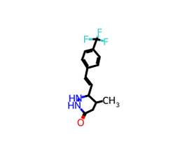 CC1CC(=O)NNC1/C=C/c1ccc(C(F)(F)F)cc1